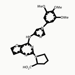 COc1cc(-n2cnc(Nc3nc(N4CCCC4C(=O)O)nc4ccoc34)c2)cc(OC)c1OC